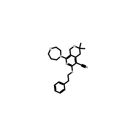 CC1(C)Cc2c(C#N)c(SCCc3ccccc3)nc(N3CCCOCC3)c2CO1